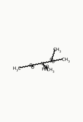 CCCCCCCCCOC(=O)CCCCCCCN(CCCCCCC(OCCCCCCCC)OCCCCCCCC)CCOC(=O)NC